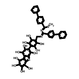 C=N/C(=N\C(=N/Cc1c(O)c(O)c(-c2c(O)c(O)c3c(sc4c(O)c(O)c(O)c(O)c43)c2O)c(O)c1O)c1ccc(-c2ccccc2)cc1)c1ccc(-c2ccccc2)cc1